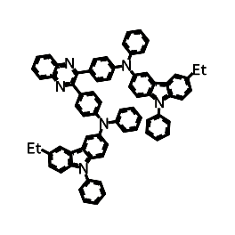 CCc1ccc2c(c1)c1cc(N(c3ccccc3)c3ccc(-c4nc5ccccc5nc4-c4ccc(N(c5ccccc5)c5ccc6c(c5)c5cc(CC)ccc5n6-c5ccccc5)cc4)cc3)ccc1n2-c1ccccc1